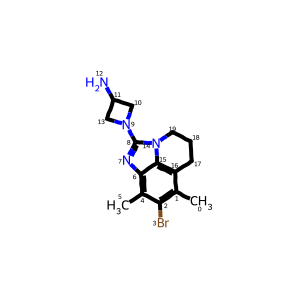 Cc1c(Br)c(C)c2nc(N3CC(N)C3)n3c2c1CCC3